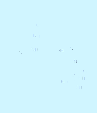 CC(C)(C)OC(=O)N1CCN(Cc2ccc(C(=O)Nc3ccccc3-c3nc4ccccc4[nH]3)cc2O)CC1